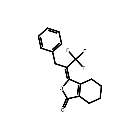 O=C1O/C(=C(\Cc2ccccc2)C(F)(F)F)C2=C1CCCC2